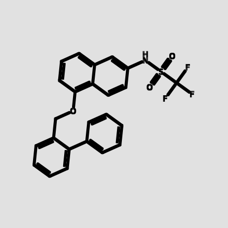 O=S(=O)(Nc1ccc2c(OCc3ccccc3-c3ccccc3)cccc2c1)C(F)(F)F